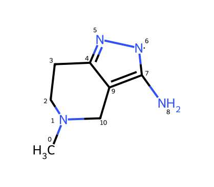 CN1CCC2=N[N]C(N)=C2C1